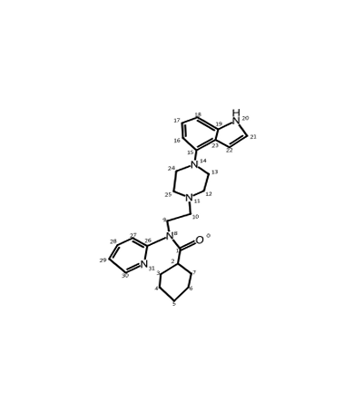 O=C(C1CCCCC1)N(CCN1CCN(c2cccc3[nH]ccc23)CC1)c1ccccn1